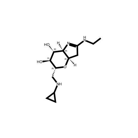 CCNC1=N[C@@H]2[C@@H](O)[C@H](O)[C@@H](CNC3CC3)O[C@@H]2C1